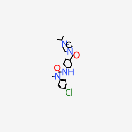 CC(C)N1CCN(C(=O)C2CCC(NC(=O)N(C)c3ccc(Cl)cc3)CC2)CC1